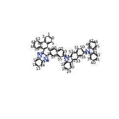 c1ccc2c(c1)cc(-c1nc3ccccc3nc1-c1ccc3ccc(-n4c5ccccc5c5cc6cc(-n7c8ccccc8c8ccccc87)ccc6cc54)cc3c1)c1ccccc12